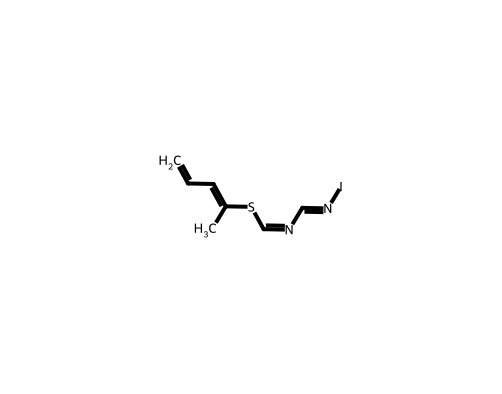 C=C/C=C(\C)S/C=N\C=N\I